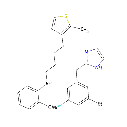 CCc1cc(F)cc(Cc2ncc[nH]2)c1.COc1ccccc1BCCCCc1ccsc1C